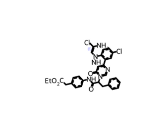 CCOC(=O)Cc1ccc(NC(=O)C(Cc2ccccc2)n2cnc(-c3cc(Cl)ccc3N(N)/C=C(\N)Cl)cc2=O)cc1